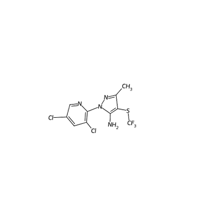 Cc1nn(-c2ncc(Cl)cc2Cl)c(N)c1SC(F)(F)F